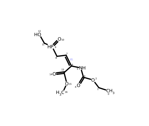 CCOC(=O)N/C(=C/C[PH](=O)CO)C(=O)OC